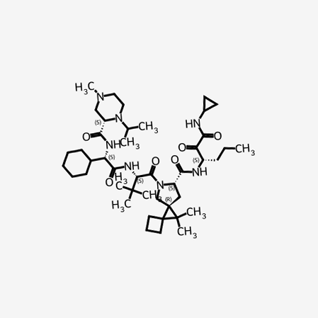 CCC[C@H](NC(=O)[C@@H]1C[C@@]2(CN1C(=O)[C@@H](NC(=O)[C@@H](NC(=O)[C@@H]1CN(C)CCN1C(C)C)C1CCCCC1)C(C)(C)C)C(C)(C)C21CCC1)C(=O)C(=O)NC1CC1